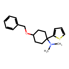 CN(C)C1(c2cccs2)CCC(OCc2ccccc2)CC1